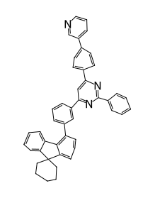 c1ccc(-c2nc(-c3ccc(-c4cccnc4)cc3)cc(-c3cccc(-c4cccc5c4-c4ccccc4C54CCCCC4)c3)n2)cc1